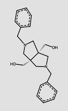 OC[C@]12CN(Cc3ccccc3)C[C@@]1(CO)CN(Cc1ccccc1)C2